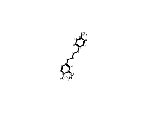 O=C(O)n1ccc(CCCCc2ccc(C(F)(F)F)cc2)cc1=O